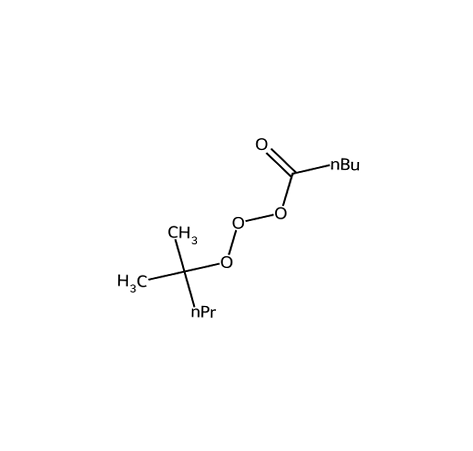 CCCCC(=O)OOOC(C)(C)CCC